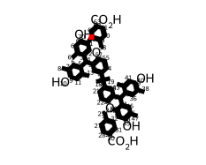 Cc1cc(C(c2cc(C)c(O)cc2C)c2cc(C(C)(C)c3ccc(OCc4ccc(C(=O)O)cc4)c(C(c4cc(C)c(O)cc4C)c4cc(C)c(O)cc4C)c3)ccc2OCc2ccc(C(=O)O)cc2)c(C)cc1O